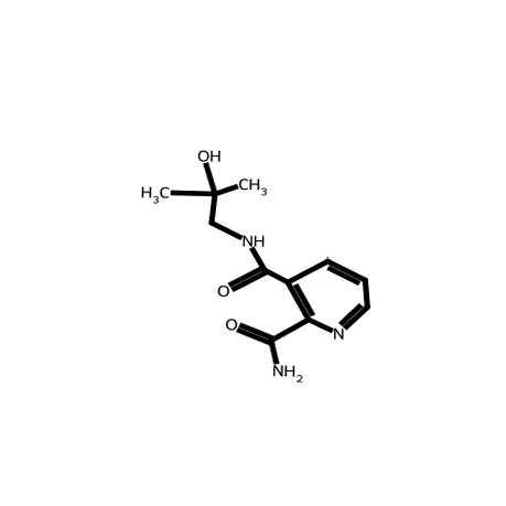 CC(C)(O)CNC(=O)c1[c]ccnc1C(N)=O